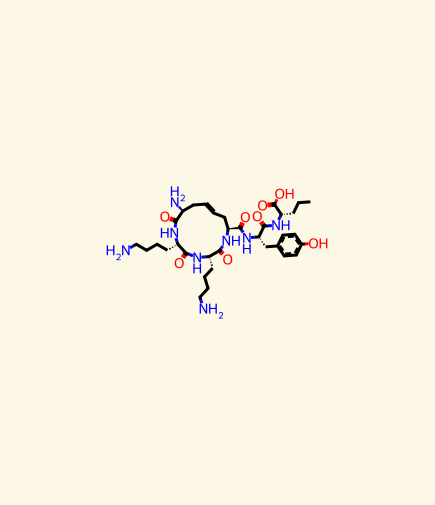 CCC[C@H](NC(=O)[C@H](Cc1ccc(O)cc1)NC(=O)[C@@H]1C/C=C/C[C@H](N)C(=O)N[C@@H](CCCCN)C(=O)N[C@@H](CCCCN)C(=O)N1)C(=O)O